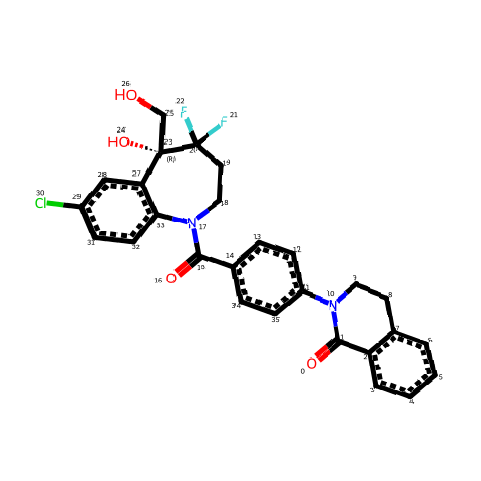 O=C1c2ccccc2CCN1c1ccc(C(=O)N2CCC(F)(F)[C@](O)(CO)c3cc(Cl)ccc32)cc1